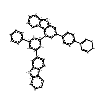 C1=CC(c2ccc(-c3cc(-c4nc(-c5ccccc5)nc(-c5ccc6c(c5)oc5ccccc56)n4)c4c(c3)oc3ccccc34)cc2)=CCC1